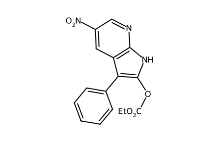 CCOC(=O)Oc1[nH]c2ncc([N+](=O)[O-])cc2c1-c1ccccc1